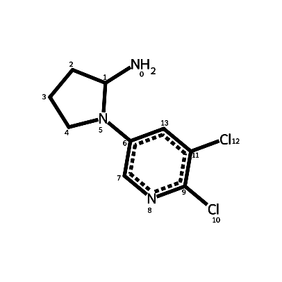 NC1CCCN1c1cnc(Cl)c(Cl)c1